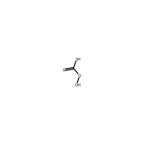 OOC(=S)S